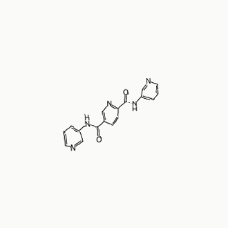 O=C(Nc1cccnc1)c1ccc(C(=O)Nc2cccnc2)nc1